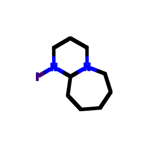 IN1CCCN2CCCCCC12